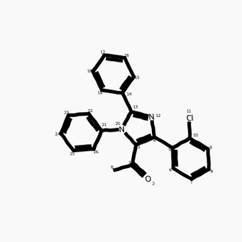 CC(=O)c1c(-c2ccccc2Cl)nc(-c2ccccc2)n1-c1ccccc1